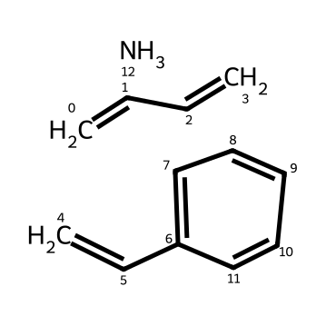 C=CC=C.C=Cc1ccccc1.N